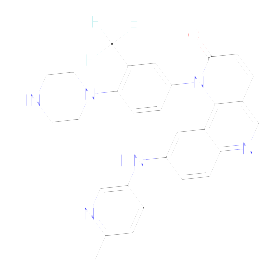 Cc1ccc(Nc2ccc3ncc4ccc(=O)n(-c5ccc(N6CCNCC6)c(C(F)(F)F)c5)c4c3c2)cn1